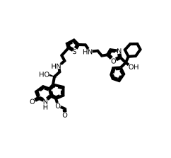 O=COc1ccc([C@@H](O)CNCCc2ccc(CNCCc3cnc(C(O)(c4ccccc4)C4CCCCC4)o3)s2)c2ccc(=O)[nH]c12